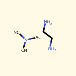 CC(=O)N(C#N)C#N.NCCN